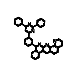 c1ccc(-c2cc(-c3cccc(-c4nc5nc6c(ccc7cccnc76)cc5c5ccccc45)c3)nc(-c3ccccc3)n2)cc1